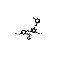 COc1ccc(CN(c2cc(OC)nc(SCc3cccc(F)c3)n2)S(=O)(=O)N2CCC2)cc1